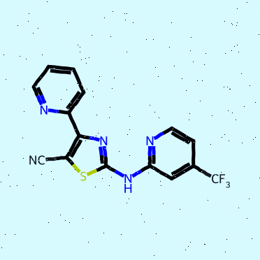 N#Cc1sc(Nc2cc(C(F)(F)F)ccn2)nc1-c1ccccn1